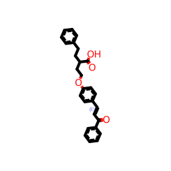 O=C(/C=C/c1ccc(OCCC(CCc2ccccc2)C(=O)O)cc1)c1ccccc1